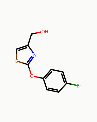 OCc1csc(Oc2ccc(Br)cc2)n1